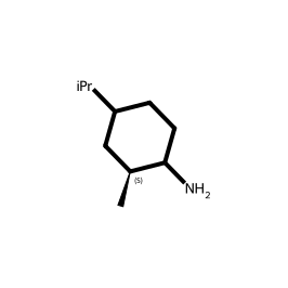 CC(C)C1CCC(N)[C@@H](C)C1